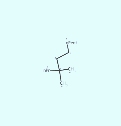 [CH2]CCCCCCC(C)(C)CCC